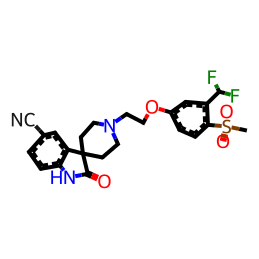 CS(=O)(=O)c1ccc(OCCN2CCC3(CC2)C(=O)Nc2ccc(C#N)cc23)cc1C(F)F